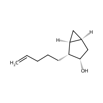 C=CCCC[C@@H]1[C@H]2C[C@H]2C[C@@H]1O